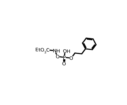 CCOC(=O)NOP(=O)(O)OCCc1ccccc1